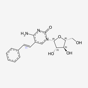 Nc1nc(=O)n([C@@H]2O[C@H](CO)[C@@H](O)[C@@H]2O)cc1/C=C/c1ccccc1